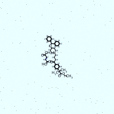 CCOC(=O)C(C)(C)c1ccc(C(=O)CCCN2CCC(OC(c3ccccc3)c3ccccc3)CC2)cc1.O=C(O)/C=C/C(=O)O